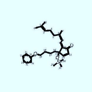 CC(C)=CCCC(C)=CC=C1C(=O)C=CC1(CCCCOc1ccccc1)O[Si](C)(C)C